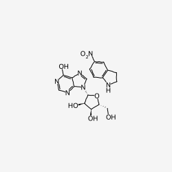 O=[N+]([O-])c1ccc2c(c1)CCN2.OC[C@H]1O[C@@H](n2cnc3c(O)ncnc32)[C@H](O)[C@@H]1O